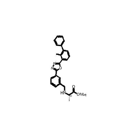 COC(=O)[C@H](C)NCc1cccc(-c2nnc(-c3cccc(-c4ccccc4)c3C)o2)c1